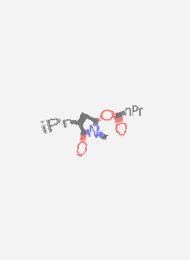 CCCC(=O)OC1C=C(C(C)C)C(=O)N1C